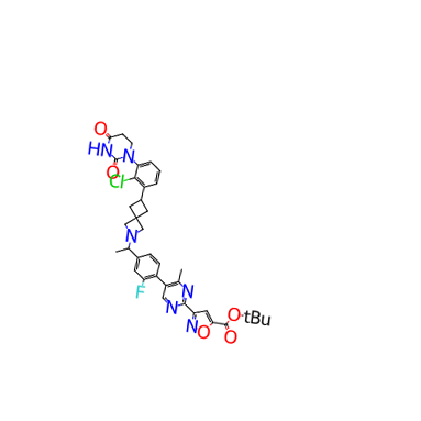 Cc1nc(-c2cc(C(=O)OC(C)(C)C)on2)ncc1-c1ccc(C(C)N2CC3(CC(c4cccc(N5CCC(=O)NC5=O)c4Cl)C3)C2)cc1F